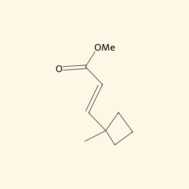 COC(=O)C=CC1(C)CCC1